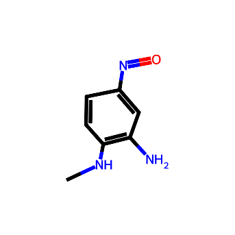 CNc1ccc(N=O)cc1N